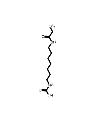 CCC(=O)NCCCCCCCNC(=O)O